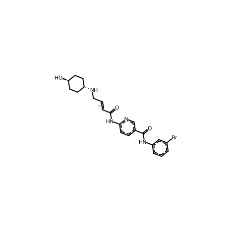 O=C(/C=C/CN[C@H]1CC[C@H](O)CC1)Nc1ccc(C(=O)Nc2cccc(Br)c2)cn1